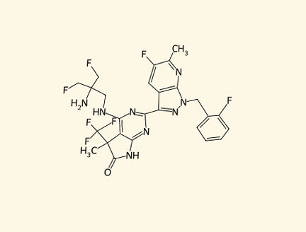 Cc1nc2c(cc1F)c(-c1nc(NCC(N)(CF)CF)c3c(n1)NC(=O)C3(C)C(F)(F)F)nn2Cc1ccccc1F